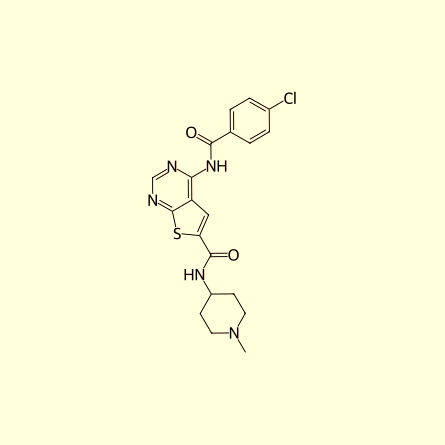 CN1CCC(NC(=O)c2cc3c(NC(=O)c4ccc(Cl)cc4)ncnc3s2)CC1